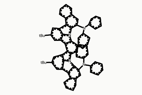 CC(C)(C)c1cc2c3c4c5cc(C(C)(C)C)cc6c7c8ccccc8cc(N(c8ccccc8)c8ccccc8)c7n(c4ccc3n3c4c(N(c7ccccc7)c7ccccc7)cc7ccccc7c4c(c1)c23)c56